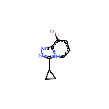 Brc1cccn2c(C3CC3)nnc12